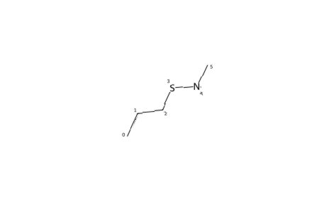 CCCS[N]C